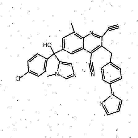 C#Cc1nc2c(C)cc(C(O)(c3ccc(Cl)cc3)c3cncn3C)cc2c(C#N)c1Cc1ccc(-n2cccn2)cc1